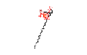 CCCCCCCCCCCCCCCCCCOCCC1(C(CCBr)OP(=O)(O)O)CCC(=O)O1